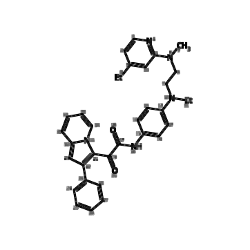 CCc1ccnc(N(C)CCN(CC)c2ccc(NC(=O)C(=O)c3c(-c4ccccc4)cc4ccccn34)cc2)c1